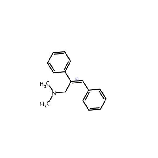 CN(C)C/C(=C\c1ccccc1)c1ccccc1